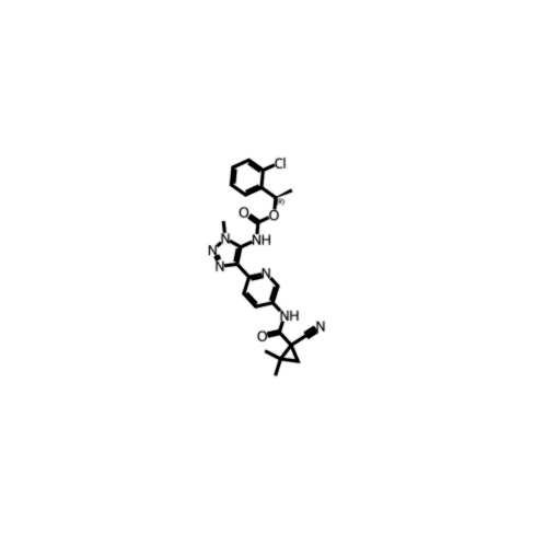 C[C@@H](OC(=O)Nc1c(-c2ccc(NC(=O)C3(C#N)CC3(C)C)cn2)nnn1C)c1ccccc1Cl